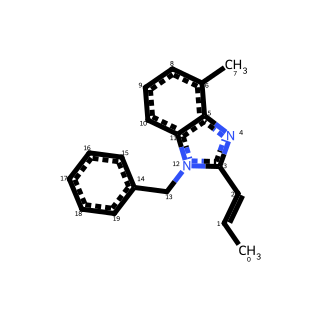 CC=Cc1nc2c(C)cccc2n1Cc1ccccc1